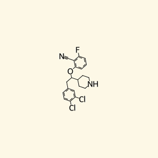 N#Cc1c(F)cccc1OC(Cc1ccc(Cl)c(Cl)c1)C1CCNCC1